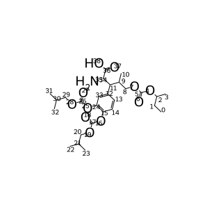 CCC(C)OC(=O)OCC(C)C(c1ccc(OC(=O)OCC(C)C)c(OC(=O)OCC(C)C)c1)[C@H](N)C(=O)O